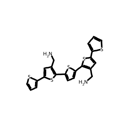 NCc1cc(-c2cccs2)sc1-c1ccc(-c2sc(-c3cccs3)cc2CN)s1